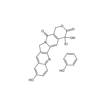 CCC1(O)C(=O)OCc2c1cc1n(c2=O)Cc2cc3cc(O)ccc3nc2-1.Oc1ccccc1